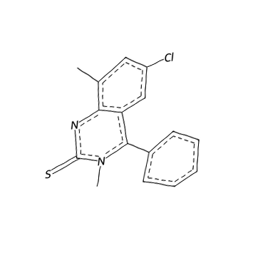 Cc1cc(Cl)cc2c(-c3ccccc3)n(C)c(=S)nc12